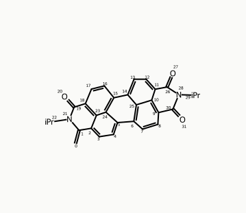 C=c1c2ccc3c4ccc5c6c(ccc(c7ccc(c(=O)n1C(C)C)c2c37)c64)C(=O)N(C(C)C)C5=O